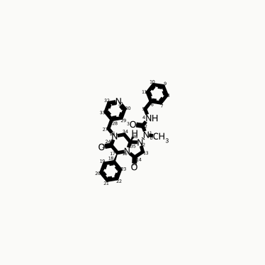 CN(C(=O)NCc1ccccc1)N1CC(=O)N2[C@@H](c3ccccc3)C(=O)N(Cc3ccncc3)C[C@@H]21